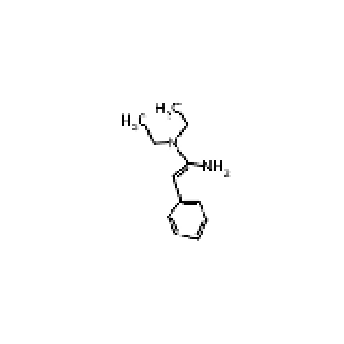 CCN(CC)/C(N)=C/c1ccccc1